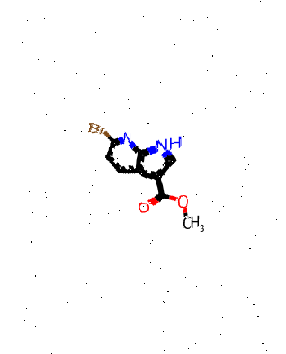 COC(=O)c1c[nH]c2nc(Br)ccc12